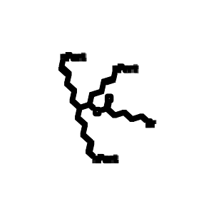 CCCCCC=CCCCC(CCCC=CCCCCC)C(CCC=CCCCCC)OC(=O)CCCCBr